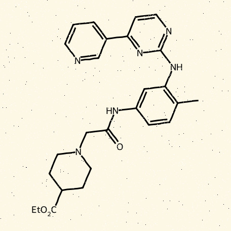 CCOC(=O)C1CCN(CC(=O)Nc2ccc(C)c(Nc3nccc(-c4cccnc4)n3)c2)CC1